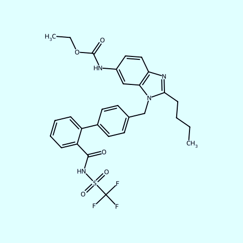 CCCCc1nc2ccc(NC(=O)OCC)cc2n1Cc1ccc(-c2ccccc2C(=O)NS(=O)(=O)C(F)(F)F)cc1